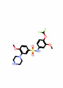 COc1cc(NS(=O)(=O)c2ccc(OC)c(N3CCNCC3)c2)ccc1OC(F)F